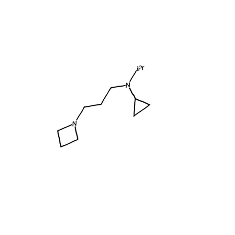 CC(C)N(CCCN1CCC1)C1CC1